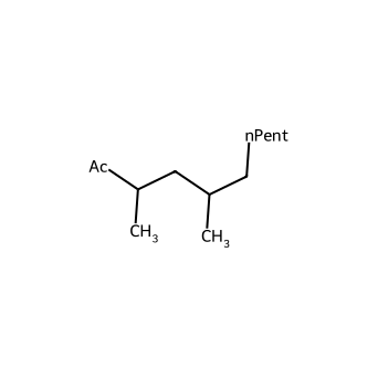 CCCCCCC(C)CC(C)C(C)=O